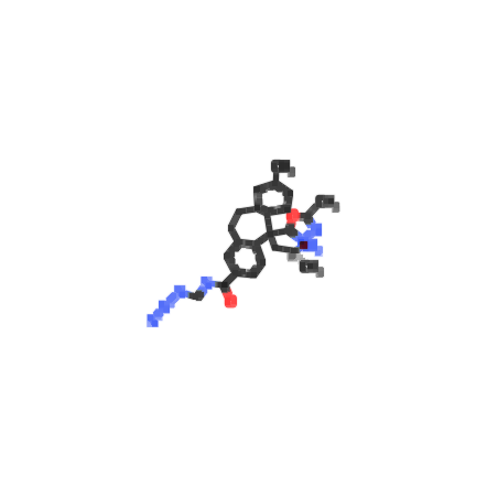 Cc1ccc2c(c1)CCc1cc(C(=O)N=CN=[N+]=[N-])ccc1C2(C[C@@H](C)N)c1nnc(C)o1